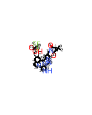 CC1(C)C2C(=O)N(Cc3cc4c(-c5cc(C(F)(F)F)cc6ccn(C7CCNC7)c56)ncnn4c3)C(=O)C21.O=C(O)C(F)(F)F